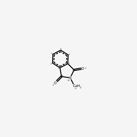 O=C1c2ccccc2C(=O)[N]1[GaH2]